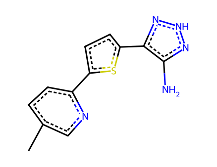 Cc1ccc(-c2ccc(-c3n[nH]nc3N)s2)nc1